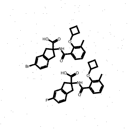 Cc1cccc(C(=O)NC2(C(=O)O)Cc3ccc(Br)cc3C2)c1OC1CCC1.Cc1cccc(C(=O)NC2(C(=O)O)Cc3ccc(F)cc3C2)c1OC1CCC1